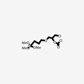 CO[Si](CCCOCC(CCl)OC(=O)Cl)(OC)OC